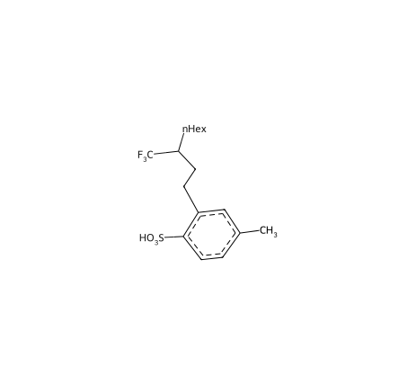 CCCCCCC(CCc1cc(C)ccc1S(=O)(=O)O)C(F)(F)F